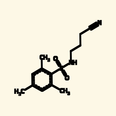 Cc1cc(C)c(S(=O)(=O)NCCCC#N)c(C)c1